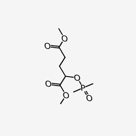 COC(=O)CCC(OP(C)(C)=O)C(=O)OC